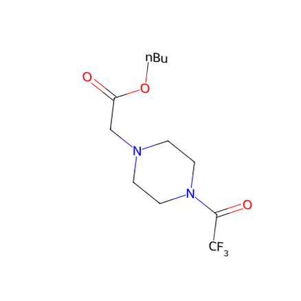 CCCCOC(=O)CN1CCN(C(=O)C(F)(F)F)CC1